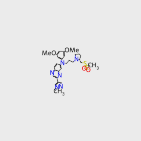 COc1cc(OC)cc(N(CCCN2CCC[C@H]2CSS(C)(=O)=O)c2ccc3ncc(-c4cnn(C)c4)nc3c2)c1